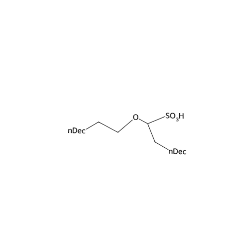 CCCCCCCCCCCCOC(CCCCCCCCCCC)S(=O)(=O)O